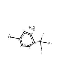 FC(F)(F)c1ccc(Cl)cc1.O